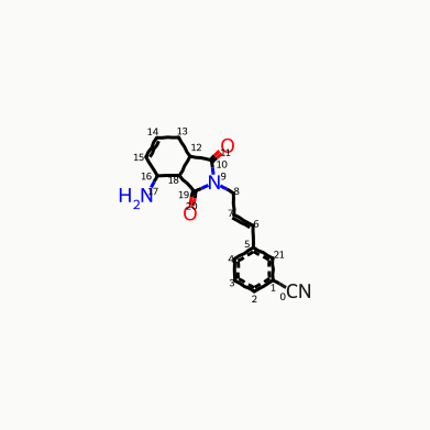 N#Cc1cccc(C=CCN2C(=O)C3CC=CC(N)C3C2=O)c1